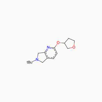 CC(C)(C)N1Cc2ccc(OC3CCOC3)nc2C1